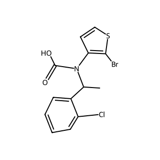 CC(c1ccccc1Cl)N(C(=O)O)c1ccsc1Br